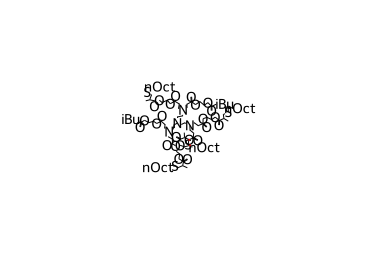 CCCCCCCCSCC(C)C(=O)OCCOC(=O)CCN(CCC(=O)OCCOC(=O)C(C)CC)CCN(CCN(CCC(=O)OCCOC(=O)C(C)CC)CCC(=O)OCCOC(=O)C(C)CSCCCCCCCC)CCN(CCC(=O)OCCOC(=O)C(C)CSCCCCCCCC)CCC(=O)OCCOC(=O)C(C)CSCCCCCCCC